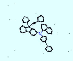 C(#CC1(C2=CCCC=C2)c2ccccc2-c2ccc(N(c3ccc(-c4ccccc4)cc3)c3cccc4ccccc34)cc21)c1ccccc1